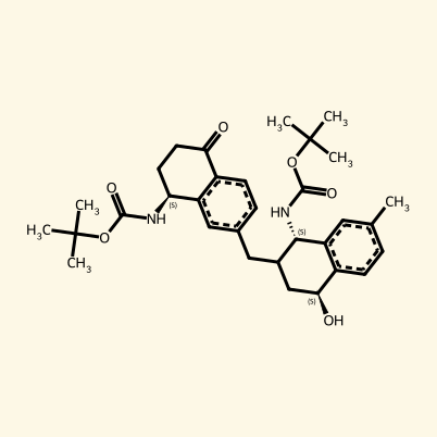 Cc1ccc2c(c1)[C@@H](NC(=O)OC(C)(C)C)C(Cc1ccc3c(c1)[C@@H](NC(=O)OC(C)(C)C)CCC3=O)C[C@@H]2O